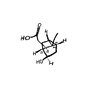 C[C@@H]1[C@@H]2CC[C@@H]([C@H](O)C2)N1C(=O)O